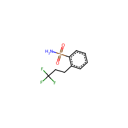 NS(=O)(=O)c1ccccc1CCC(F)(F)F